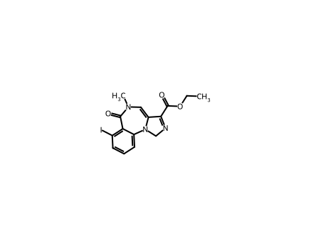 CCOC(=O)C1=NCN2C1=CN(C)C(=O)c1c(I)cccc12